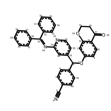 N#Cc1ccc(C(Oc2ccc3c(c2)OCCC3=O)c2ccnc(N=C(c3ccccc3)c3ccccc3)c2)cc1